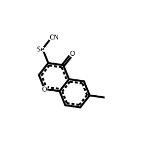 Cc1ccc2occ([Se]C#N)c(=O)c2c1